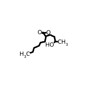 CCCCCCC1C(=O)OC1CC(C)O